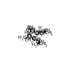 CC(C)c1cc(Nc2nc(N3CCC[C@H](NC(=O)OC(C)(C)C)C3)ncc2C(N)=O)cc(C2CCN(C(=O)OC(C)(C)C)CC2)n1